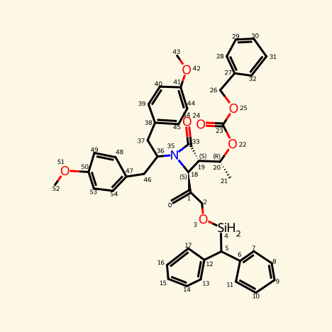 C=C(CO[SiH2]C(c1ccccc1)c1ccccc1)[C@@H]1[C@@H]([C@@H](C)OC(=O)OCc2ccccc2)C(=O)N1C(Cc1ccc(OC)cc1)Cc1ccc(OC)cc1